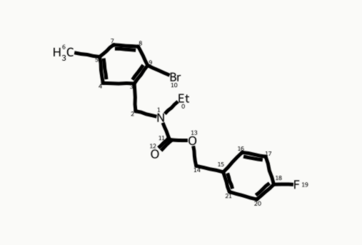 CCN(Cc1cc(C)ccc1Br)C(=O)OCc1ccc(F)cc1